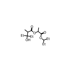 CCC(CC)OC(=O)C(C)OC(=O)C(C)C(O)(CC)CC